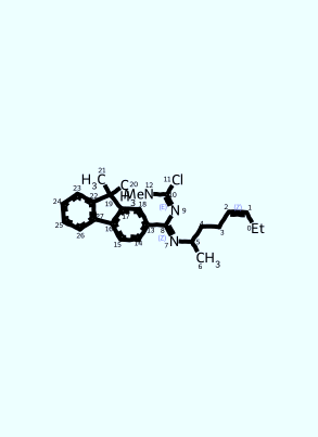 CC/C=C\CCC(C)/N=C(\N=C(\Cl)NC)c1ccc2c(c1)C(C)(C)c1ccccc1-2